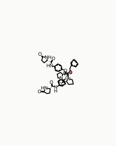 O=C1CC[C@@H](C(=O)Nc2ccc(OP(=O)(Oc3ccc(NC(=O)[C@@H]4CCC(=O)N4)cc3)[C@@H]3CCCN3C(=O)[C@@H]3CCCN3C(=O)OCc3ccccc3)cc2)N1